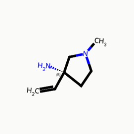 C=C[C@]1(N)CCN(C)C1